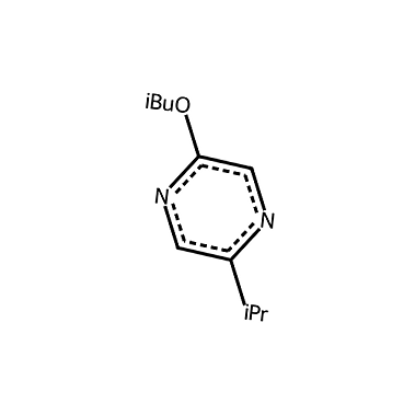 CC(C)COc1cnc(C(C)C)cn1